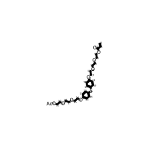 C=CC(=O)OCCOCCOCCOc1ccc(Sc2ccc(OCCOCCOCCOC(C)=O)cc2)cc1